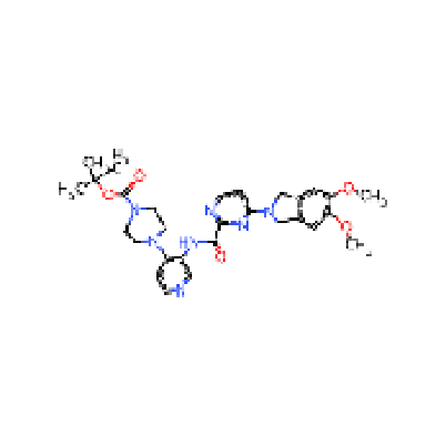 COc1cc2c(cc1OC)CN(c1ccnc(C(=O)Nc3cnccc3N3CCN(C(=O)OC(C)(C)C)CC3)n1)C2